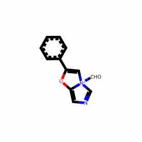 O=C[N+]12C=NC=C1OC(c1ccccc1)=C2